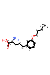 CCCCOc1cccc(CCC[C@@H](N)C(=O)O)c1